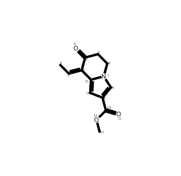 CC=C1C(=O)CCn2cc(C(=O)OC)cc21